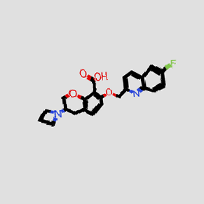 O=C(O)c1c(OCc2ccc3cc(F)ccc3n2)ccc2c1OCC(N1CCC1)C2